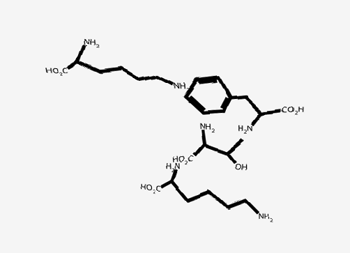 CC(O)C(N)C(=O)O.NC(Cc1ccccc1)C(=O)O.NCCCCC(N)C(=O)O.NCCCCC(N)C(=O)O